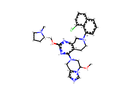 COC1CN(c2nc(OC[C@@H]3CCCN3C)nc3c2CCN(c2cccc4cccc(Cl)c24)C3)Cc2cncn21